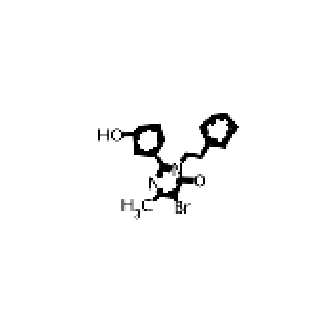 Cc1nc(-c2cccc(O)c2)n(CCc2ccccc2)c(=O)c1Br